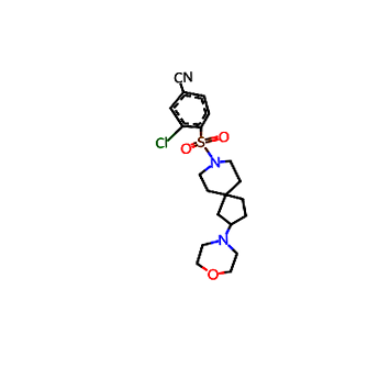 N#Cc1ccc(S(=O)(=O)N2CCC3(CCC(N4CCOCC4)C3)CC2)c(Cl)c1